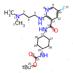 CN(C)CCCNc1ncc(F)cc1C(=O)N[C@H]1CC[C@@H](NC(=O)OC(C)(C)C)CC1